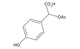 CC(=O)OC(C(=O)O)c1ccc(O)cc1